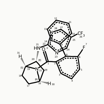 O=C(c1cccc(F)c1-c1ccccn1)N1[C@@H]2CC[C@H]1[C@H](Nc1ncc(C(F)(F)F)cn1)C2